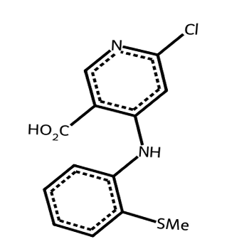 CSc1ccccc1Nc1cc(Cl)ncc1C(=O)O